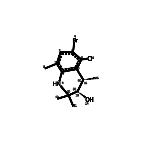 Cc1cc(Br)c(Cl)c2c1NC(C)(C)[C@@H](O)[C@H]2C